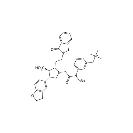 CCCCN(C(=O)CN1C[C@H](c2ccc3c(c2)CCO3)[C@@H](C(=O)O)[C@@H]1CCN1Cc2ccccc2C1=O)c1cccc(C[N+](C)(C)C)c1